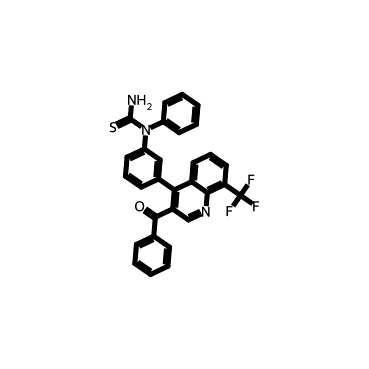 NC(=S)N(c1ccccc1)c1cccc(-c2c(C(=O)c3ccccc3)cnc3c(C(F)(F)F)cccc23)c1